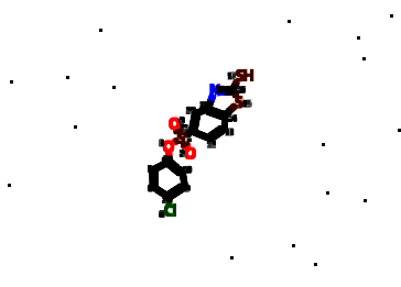 O=S(=O)(Oc1ccc(Cl)cc1)c1ccc2sc(S)nc2c1